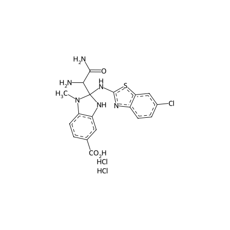 CN1c2ccc(C(=O)O)cc2NC1(Nc1nc2ccc(Cl)cc2s1)C(N)C(N)=O.Cl.Cl